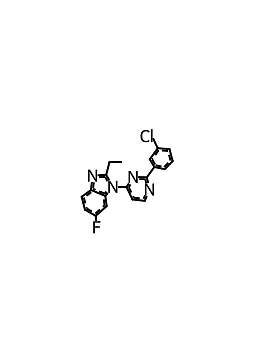 CCc1nc2ccc(F)cc2n1-c1ccnc(-c2cccc(Cl)c2)n1